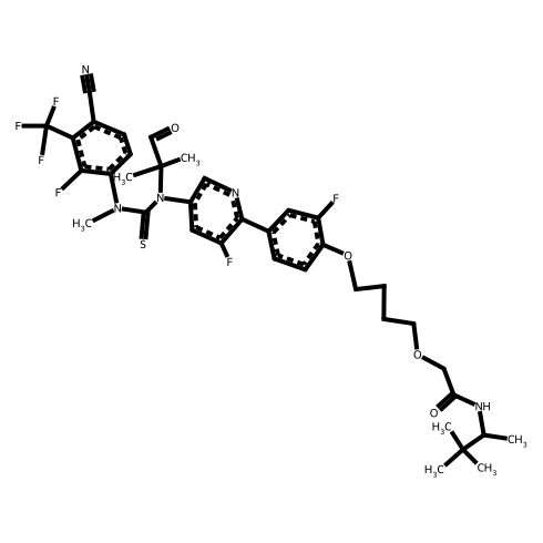 CC(NC(=O)COCCCCOc1ccc(-c2ncc(N(C(=S)N(C)c3ccc(C#N)c(C(F)(F)F)c3F)C(C)(C)C=O)cc2F)cc1F)C(C)(C)C